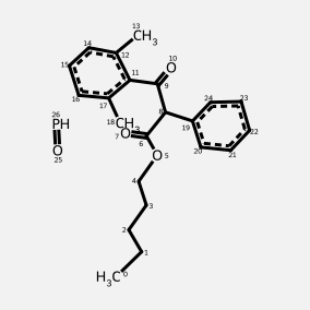 CCCCCOC(=O)C(C(=O)c1c(C)cccc1C)c1ccccc1.O=P